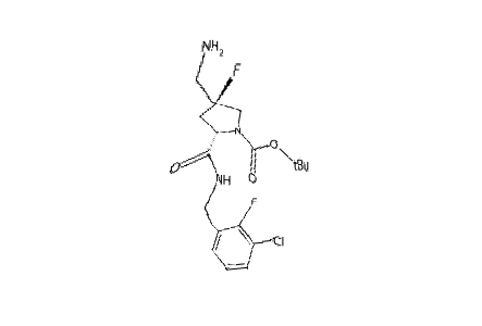 CC(C)(C)OC(=O)N1C[C@@](F)(CN)C[C@H]1C(=O)NCc1cccc(Cl)c1F